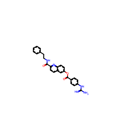 N=C(N)Nc1ccc(C(=O)Oc2ccc3nc(C(=O)NCCc4ccccc4)ccc3c2)cc1